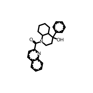 O=C(c1ccc2ccccc2n1)N1CCC(O)(c2ccccc2)C2CCCCC21